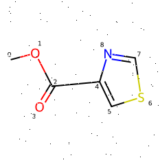 COC(=O)c1cscn1